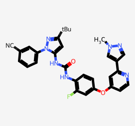 Cn1cc(-c2cc(Oc3ccc(NC(=O)Nc4cc(C(C)(C)C)nn4-c4cccc(C#N)c4)c(F)c3)ccn2)cn1